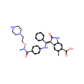 Cc1cc2c(cc1C(=O)O)NC(=O)/C2=C(/Nc1ccc(C(=O)N(C)OCCN2CCNCC2)cc1)c1ccccc1